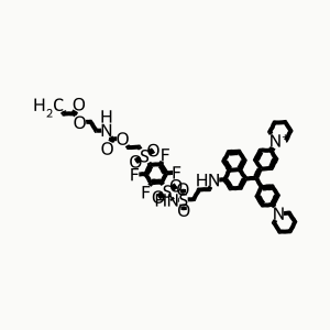 C=CC(=O)OCCNC(=O)OCCS(=O)(=O)c1c(F)c(F)c(S(=O)(=O)NS(=O)(=O)CCCNc2ccc(C(=C3C=CC(=[N+]4CCCCC4)C=C3)c3ccc(N4CCCCC4)cc3)c3ccccc23)c(F)c1F